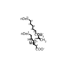 C=C(C)C(=O)O.CCCCCCCCCCCCCCCC(=O)[O-].CCCCCCCCCCCCCCCC(=O)[O-].[Mg+2]